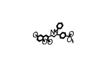 CCOC(=O)c1ccc(C2CC(c3cc4cc(OC)ccc4oc3=O)=NN2c2ccccc2)cc1